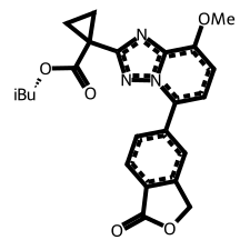 CC[C@@H](C)OC(=O)C1(c2nc3c(OC)ccc(-c4ccc5c(c4)COC5=O)n3n2)CC1